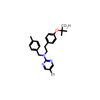 CCc1cnc(N(CCc2ccc(OC(C)(C)C(=O)O)cc2)Cc2ccc(C)cc2)nc1